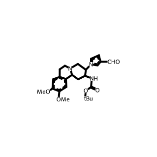 COc1cc2c(cc1OC)C1CC(NC(=O)OC(C)(C)C)C(n3ccc(C=O)c3)CN1CC2